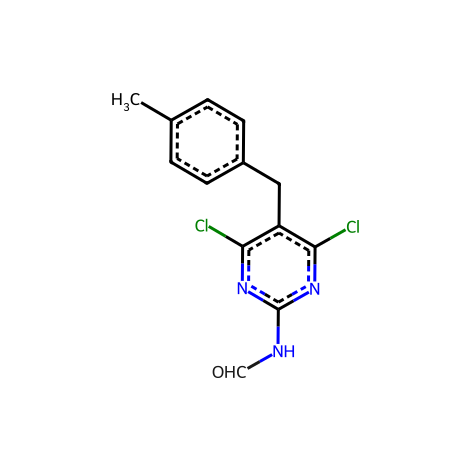 Cc1ccc(Cc2c(Cl)nc(NC=O)nc2Cl)cc1